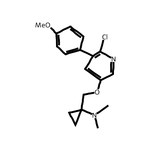 COc1ccc(-c2cc(OCC3(N(C)C)CC3)cnc2Cl)cc1